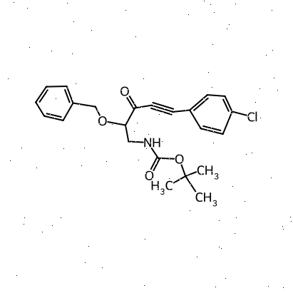 CC(C)(C)OC(=O)NCC(OCc1ccccc1)C(=O)C#Cc1ccc(Cl)cc1